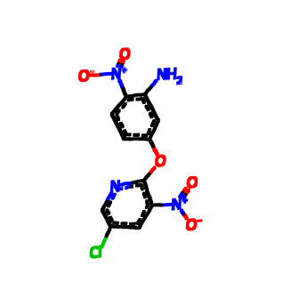 Nc1cc(Oc2ncc(Cl)cc2[N+](=O)[O-])ccc1[N+](=O)[O-]